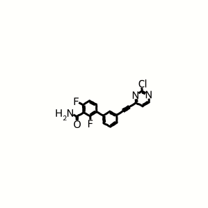 NC(=O)c1c(F)ccc(-c2cccc(C#Cc3ccnc(Cl)n3)c2)c1F